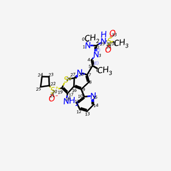 C=N/C(=N\C=C(/C)c1cc(-c2ccccn2)c2c(N)c([S+]([O-])C3CCC3)sc2n1)NS(C)(=O)=O